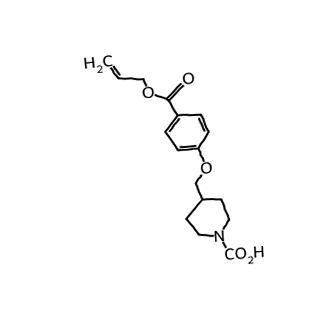 C=CCOC(=O)c1ccc(OCC2CCN(C(=O)O)CC2)cc1